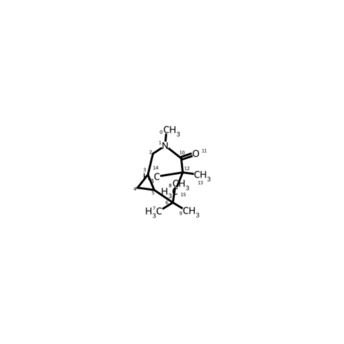 CN(CC1CC1C(C)(C)C)C(=O)C(C)(C)C